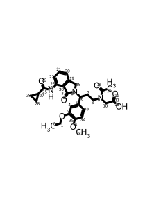 CCOc1cc(C(CCN(CC(=O)O)C(C)=O)N2Cc3cccc(NC(=O)C4CC4)c3C2=O)ccc1OC